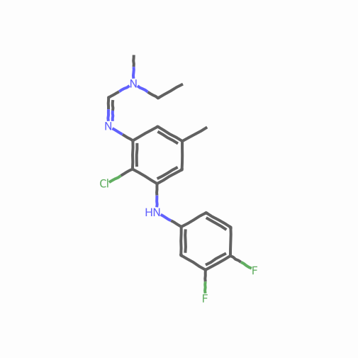 CCN(C)/C=N\c1cc(C)cc(Nc2ccc(F)c(F)c2)c1Cl